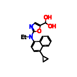 CCN(c1ncc(C(O)O)o1)c1ccc(C2CC2)c2ccccc12